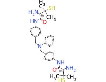 CC(C)(S)[C@H](N)C(=O)Nc1ccc(CN(Cc2ccc(NC(=O)[C@@H](N)C(C)(C)S)cc2)c2ccccc2)cc1